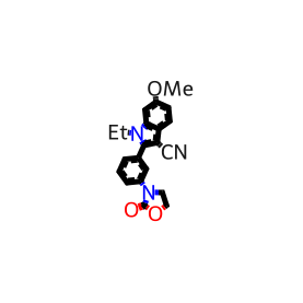 CCn1c(-c2cccc(N3CCOC3=O)c2)c(C#N)c2ccc(OC)cc21